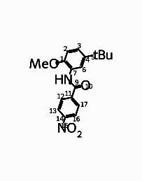 COc1ccc(C(C)(C)C)cc1NC(=O)c1ccc([N+](=O)[O-])cc1